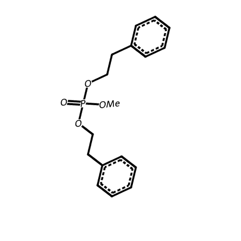 COP(=O)(OCCc1ccccc1)OCCc1ccccc1